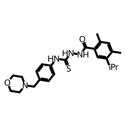 Cc1cc(C)c(C(C)C)cc1C(=O)NNC(=S)Nc1ccc(CN2CCOCC2)cc1